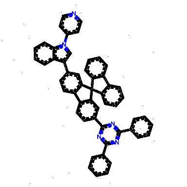 c1ccc(-c2nc(-c3ccccc3)nc(-c3ccc4c(c3)C3(c5ccccc5-c5ccccc53)c3cc(-c5cn(-c6ccncc6)c6ccccc56)ccc3-4)n2)cc1